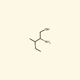 CCC(C)C(N)CO